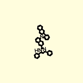 C1=C(c2ccccc2)NC(c2ccc3c(-n4c5ccccc5c5cc6ccccc6cc54)cccc3c2)N=C1c1ccccc1